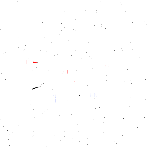 CC(C)C[C@H](O)[C@H](O)[C@H](CC1CCCCC1)NC(=O)[C@@H](C)CNC(=O)c1cc2ccccc2o1